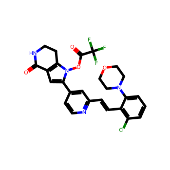 O=C1NCCc2c1cc(-c1ccnc(C=Cc3c(Cl)cccc3N3CCOCC3)c1)n2OC(=O)C(F)(F)F